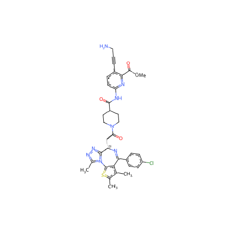 COC(=O)c1nc(NC(=O)C2CCN(C(=O)C[C@@H]3N=C(c4ccc(Cl)cc4)c4c(sc(C)c4C)-n4c(C)nnc43)CC2)ccc1C#CCN